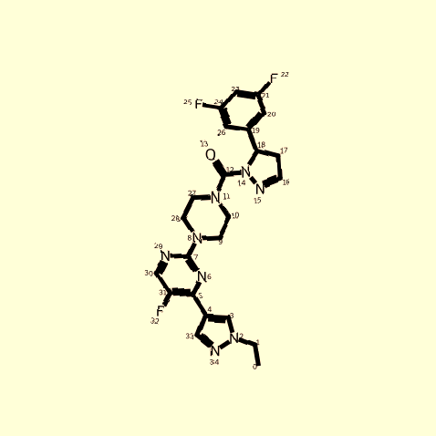 CCn1cc(-c2nc(N3CCN(C(=O)N4N=CCC4c4cc(F)cc(F)c4)CC3)ncc2F)cn1